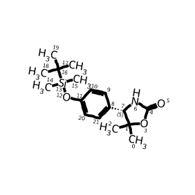 CC1(C)OC(=O)N[C@H]1c1ccc(O[Si](C)(C)C(C)(C)C)cc1